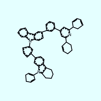 C1=CCC(c2cc(-c3cccc(-c4ccc5c(c4)c4ccccc4n5-c4cccc(-c5ccc6c7c(n(C8=CCCC=C8)c6c5)CCCC7)c4)c3)cc(C3C=CCCC3)n2)C=C1